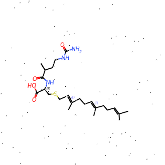 CC(C)=CCC/C(C)=C/CC/C(C)=C/CSC[C@H](NC(=O)C(C)CCNC(N)=O)C(=O)O